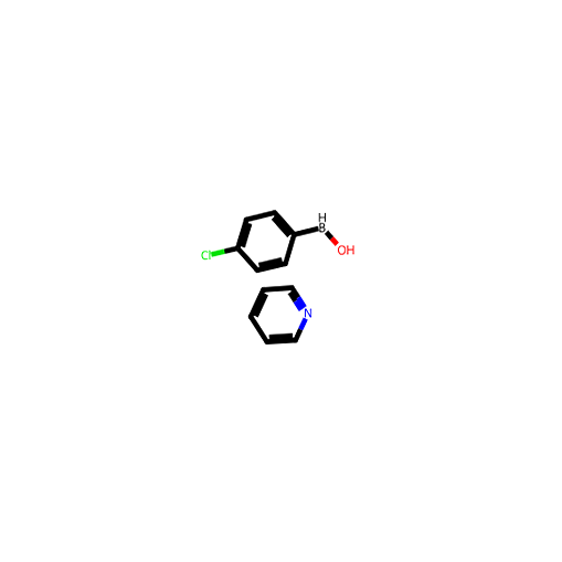 OBc1ccc(Cl)cc1.c1ccncc1